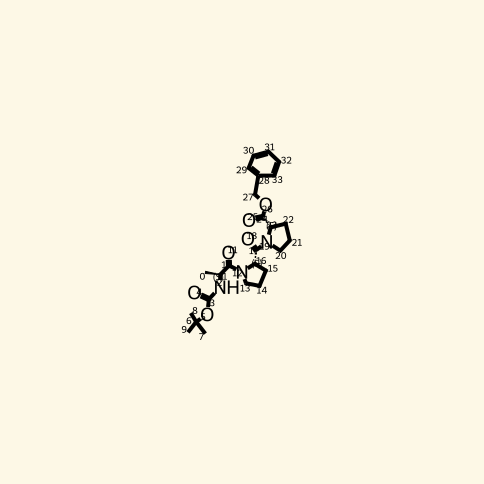 C[C@H](NC(=O)OC(C)(C)C)C(=O)N1CCC[C@H]1C(=O)N1CCC[C@H]1C(=O)OCc1ccccc1